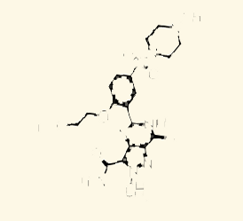 CCCOc1ccc(S(=O)(=O)N2CCN(C)CC2)cc1-c1nc2c(C(N)=O)n(C)nc2c(=O)[nH]1